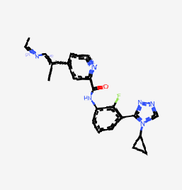 C/C=N\C=C(/C)c1ccnc(C(=O)Nc2cccc(-c3nncn3C3CC3)c2F)c1